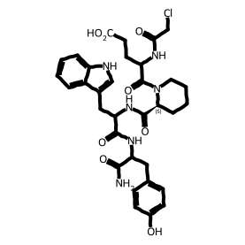 NC(=O)C(Cc1ccc(O)cc1)NC(=O)C(Cc1c[nH]c2ccccc12)NC(=O)[C@@H]1CCCCN1C(=O)C(CCC(=O)O)NC(=O)CCl